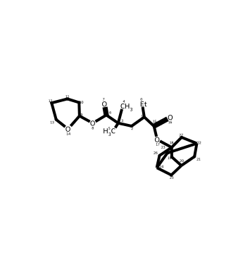 CCC(CC(C)(C)C(=O)OC1CCCCO1)C(=O)OC12CC3CC(CC(C3)C1)C2